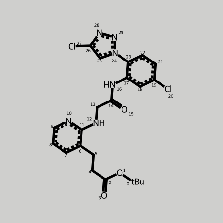 CC(C)(C)OC(=O)CCc1cccnc1NCC(=O)Nc1cc(Cl)ccc1-n1cc(Cl)nn1